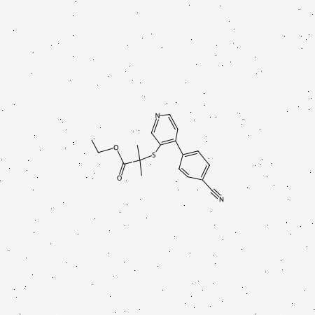 CCOC(=O)C(C)(C)Sc1cnccc1-c1ccc(C#N)cc1